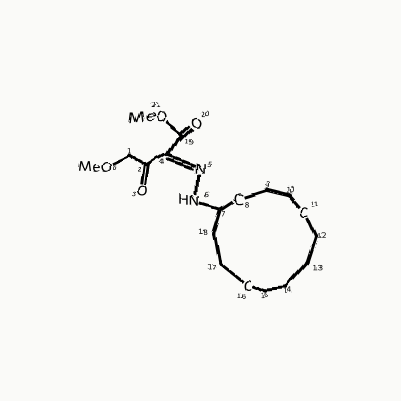 COCC(=O)/C(=N\NC1CCCCCCCCCCC1)C(=O)OC